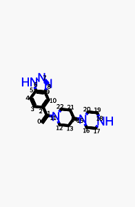 C=C(c1ccc2[nH]nnc2c1)N1CCC(N2CCNCC2)CC1